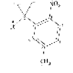 CCC1(c2nc(C)ccc2[N+](=O)[O-])CC1